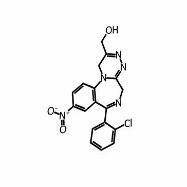 O=[N+]([O-])c1ccc2c(c1)C(c1ccccc1Cl)=NCC1=NN=C(CO)CN12